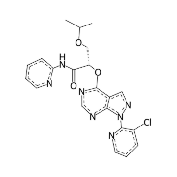 CC(C)OC[C@H](Oc1ncnc2c1cnn2-c1ncccc1Cl)C(=O)Nc1ccccn1